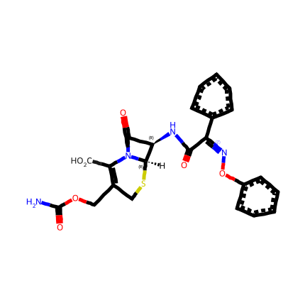 NC(=O)OCC1=C(C(=O)O)N2C(=O)[C@@H](NC(=O)/C(=N\Oc3ccccc3)c3ccccc3)[C@H]2SC1